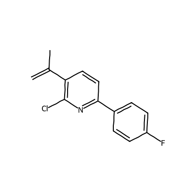 C=C(C)c1ccc(-c2ccc(F)cc2)nc1Cl